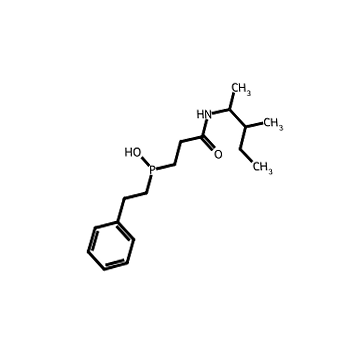 CCC(C)C(C)NC(=O)CCP(O)CCc1ccccc1